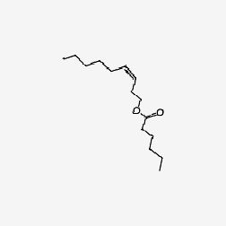 CCCCC/C=C\CCOC(=O)CCCCC